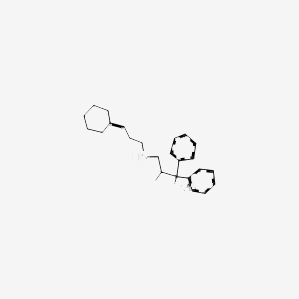 COC(c1ccccc1)(c1ccccc1)C(C)CNCCC=C1CCCCC1.Cl